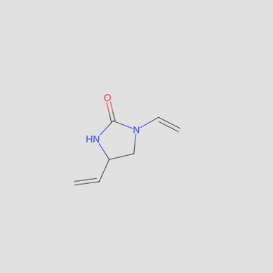 C=CC1CN(C=C)C(=O)N1